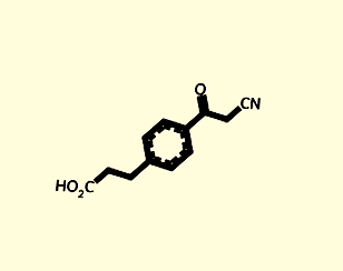 N#CCC(=O)c1ccc(CCC(=O)O)cc1